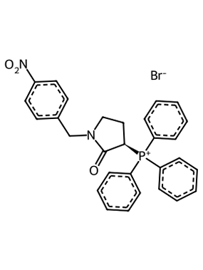 O=C1[C@H]([P+](c2ccccc2)(c2ccccc2)c2ccccc2)CCN1Cc1ccc([N+](=O)[O-])cc1.[Br-]